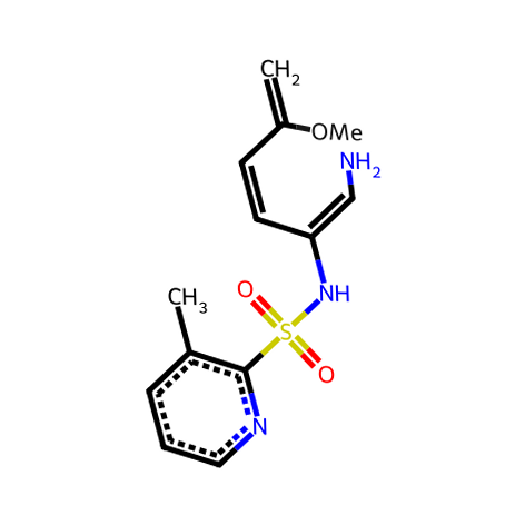 C=C(/C=C\C(=C/N)NS(=O)(=O)c1ncccc1C)OC